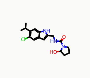 CC(C)c1cc2[nH]c(CNC(=O)N3CCCC3O)cc2cc1Cl